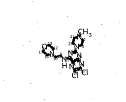 CN1CCN(c2nc(NCCN3CCOCC3)c3nc(Cl)c(Cl)nc3n2)CC1